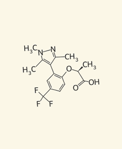 Cc1nn(C)c(C)c1-c1cc(C(F)(F)F)ccc1O[C@@H](C)C(=O)O